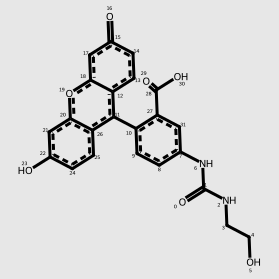 O=C(NCCO)Nc1ccc(-c2c3ccc(=O)cc-3oc3cc(O)ccc23)c(C(=O)O)c1